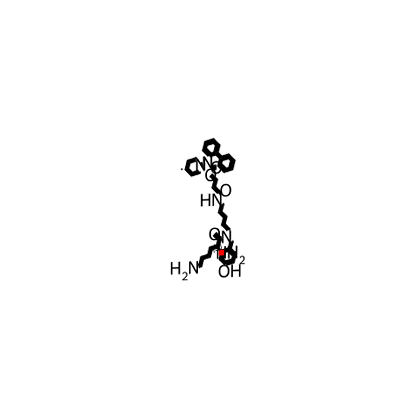 NCCCC[C@H](N)C(=O)N(CCCCCNC(=O)CCOC(=O)N(c1ccccc1-c1ccccc1)N1CC[CH]CC1)Cc1ccc(O)cc1